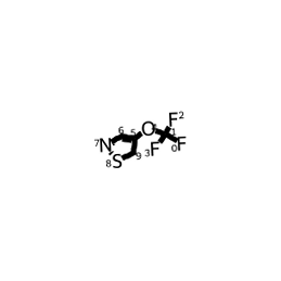 FC(F)(F)OC1=C[N]SC1